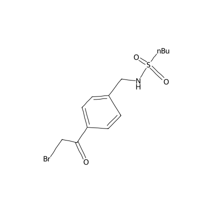 CCCCS(=O)(=O)NCc1ccc(C(=O)CBr)cc1